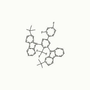 CC(C)(C)c1ccc2c3ccccc3n(-c3cc(-c4ccc(F)cc4F)cc(-n4c5ccccc5c5ccc(C(C)(C)C)cc54)c3C(F)(F)F)c2c1